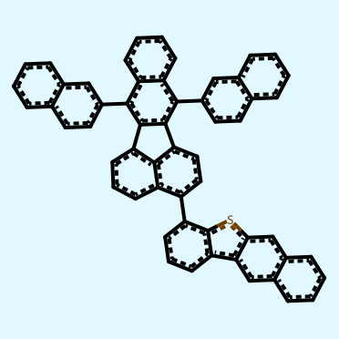 c1ccc2cc(-c3c4c(c(-c5ccc6ccccc6c5)c5ccccc35)-c3ccc(-c5cccc6c5sc5cc7ccccc7cc56)c5cccc-4c35)ccc2c1